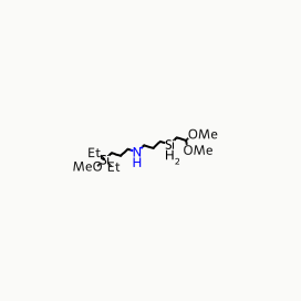 CC[Si](CC)(CCCNCCC[SiH2]CC(OC)OC)OC